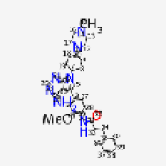 COc1cc(C2CN(C3CCC(N4CCN(C)CC4)CC3)c3ncnc(N)c32)ccc1NC(=O)CCc1ccccc1